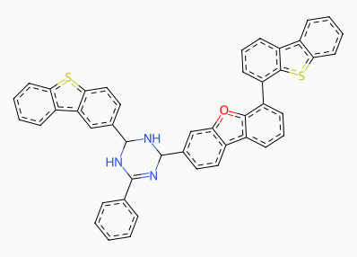 c1ccc(C2=NC(c3ccc4c(c3)oc3c(-c5cccc6c5sc5ccccc56)cccc34)NC(c3ccc4sc5ccccc5c4c3)N2)cc1